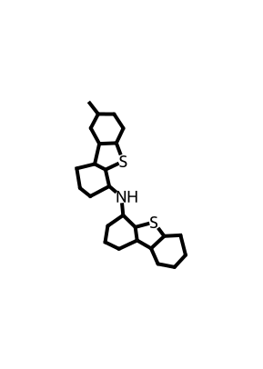 CC1CCC2SC3C(NC4CCCC5C6CCCCC6SC45)CCCC3C2C1